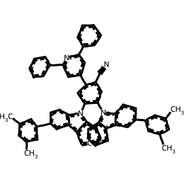 Cc1cc(C)cc(-c2ccc3c(c2)c2ccccc2n3-c2cc(C#N)c(-c3cc(-c4ccccc4)nc(-c4ccccc4)c3)cc2-n2c3ccccc3c3cc(-c4cc(C)cc(C)c4)ccc32)c1